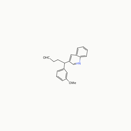 COc1cccc(C(CCC=O)c2cnc3ccccc3c2)c1